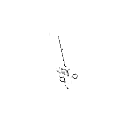 CC#CCOc1ccc(C[C@H](NC(=O)[C@@H](C=CCCCCCCC(=O)CCCCCCC)[C@@](O)(CC(=O)Nc2ccccc2)C(=O)O)C(=O)OC)cc1